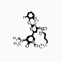 CCCCS(=O)(=O)Nc1cc(-c2cc(N(C)C)c(=O)n(C)c2)nc(Oc2c(C)cccc2F)n1